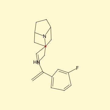 C=CCN1C2CCC1CC(CNC(=C)c1cccc(F)c1)C2